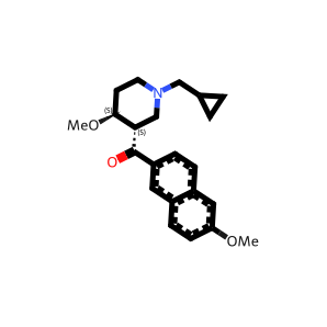 COc1ccc2cc(C(=O)[C@H]3CN(CC4CC4)CC[C@@H]3OC)ccc2c1